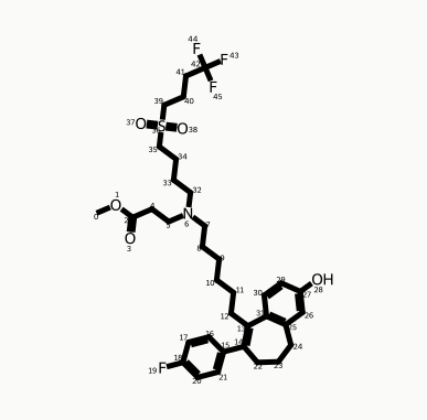 COC(=O)CCN(CCCCCCC1=C(c2ccc(F)cc2)CCCc2cc(O)ccc21)CCCCS(=O)(=O)CCCC(F)(F)F